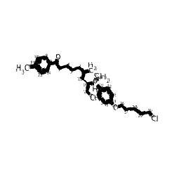 C=C(CCCCC(=O)c1ccc(C)cc1)C[C@H](CC)[PH](=C)c1ccc(OCCCCCCl)cc1